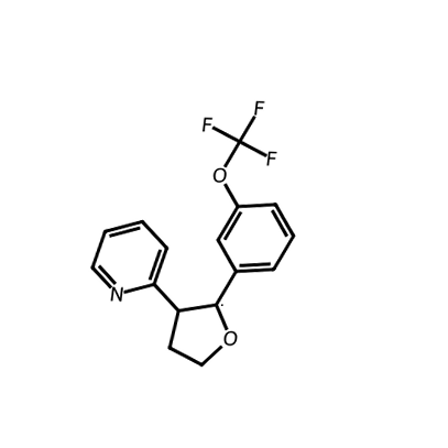 FC(F)(F)Oc1cccc([C]2OCCC2c2ccccn2)c1